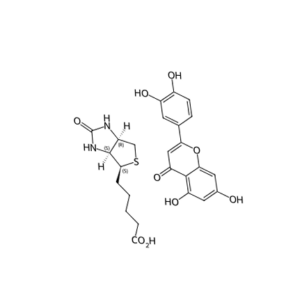 O=C(O)CCCC[C@@H]1SC[C@@H]2NC(=O)N[C@@H]21.O=c1cc(-c2ccc(O)c(O)c2)oc2cc(O)cc(O)c12